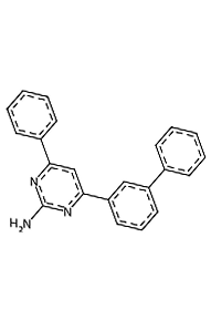 Nc1nc(-c2ccccc2)cc(-c2cccc(-c3ccccc3)c2)n1